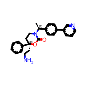 C[C@@H](c1ccc(-c2cccnc2)cc1)N1CC[C@](CCN)(c2ccccc2)OC1=O